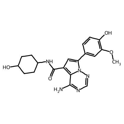 COc1cc(-c2cc(C(=O)NC3CCC(O)CC3)c3c(N)ncnn23)ccc1O